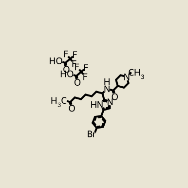 CC(=O)CCCCCC(NC(=O)C1CCN(C)CC1)c1ncc(-c2ccc(Br)cc2)[nH]1.O=C(O)C(F)(F)F.O=C(O)C(F)(F)F